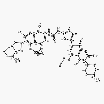 COc1c(N2CC3CCCN(C)C3C2)c(F)cc2c(=O)c(NC(=O)Nc3nnc(-c4cn(CCF)c5c(F)c(N6CCN(C)CC6)c(F)cc5c4=O)o3)cn(C3CC3)c12